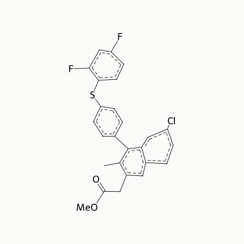 COC(=O)Cc1cc2ccc(Cl)cc2c(-c2ccc(Sc3ccc(F)cc3F)cc2)c1C